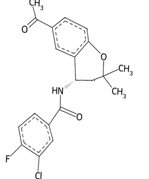 CC(=O)c1ccc2c(c1)[C@@H](NC(=O)c1ccc(F)c(Cl)c1)[CH]C(C)(C)O2